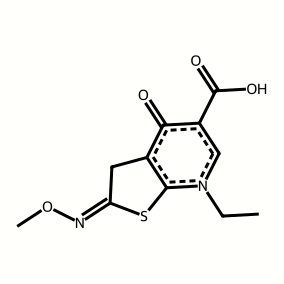 CCn1cc(C(=O)O)c(=O)c2c1S/C(=N/OC)C2